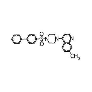 Cc1ccc2c(N3CCN(S(=O)(=O)c4ccc(-c5ccccc5)cc4)CC3)ccnc2c1